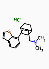 CN(C)CC1=C(c2cccc3ccsc23)C2CCC1CC2.Cl